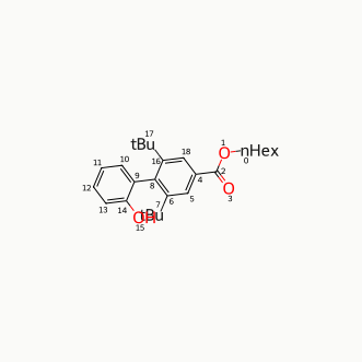 CCCCCCOC(=O)c1cc(C(C)(C)C)c(-c2ccccc2O)c(C(C)(C)C)c1